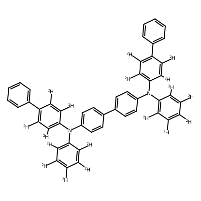 [2H]c1c([2H])c([2H])c(N(c2ccc(-c3ccc(N(c4c([2H])c([2H])c([2H])c([2H])c4[2H])c4c([2H])c([2H])c(-c5ccccc5)c([2H])c4[2H])cc3)cc2)c2c([2H])c([2H])c(-c3ccccc3)c([2H])c2[2H])c([2H])c1[2H]